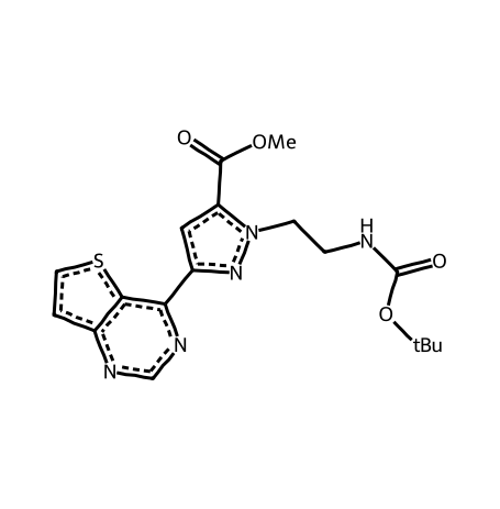 COC(=O)c1cc(-c2ncnc3ccsc23)nn1CCNC(=O)OC(C)(C)C